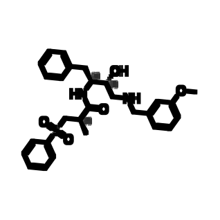 COc1cccc(CNC[C@@H](O)[C@H](Cc2ccccc2)NC(=O)[C@@H](C)CS(=O)(=O)c2ccccc2)c1